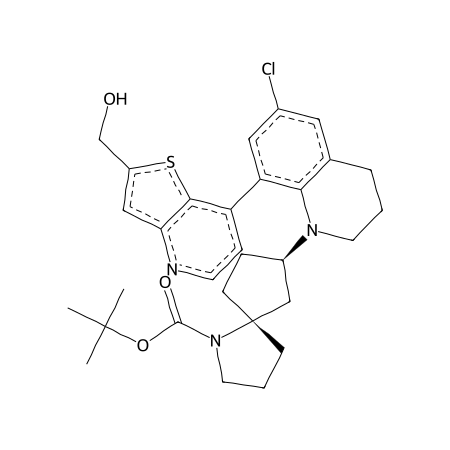 CC(C)(C)OC(=O)N1CCC[C@]12CC[C@@H](N1CCCc3cc(Cl)cc(-c4ccnc5cc(CO)sc45)c31)C2